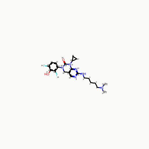 CC(C)N(CCCCCNc1ncc2c(n1)N(C1CC1)C(=O)N(c1ccc(F)c(O)c1F)C2)C(C)C